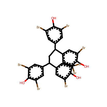 Oc1c(Br)cc(C(CC(c2cc(Br)c(O)c(Br)c2)c2cc(Br)c(O)c(Br)c2)c2cc(Br)c(O)c(Br)c2)cc1Br